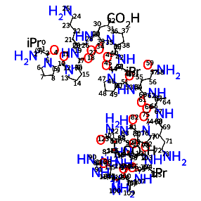 CC(C)[C@H](N)C(=O)N1CCC[C@H]1C(=O)N1CCC[C@H]1C(=O)N[C@@H](CCCCN)C(=O)N[C@@H](CCC(=O)O)C(=O)N1CCC[C@H]1C(=O)N[C@H](C(=O)N1CCC[C@H]1C(=O)N[C@@H](CCC(N)=O)C(=O)N[C@@H](C)C(=O)N[C@@H](CCCCN)C(=O)N1CCC[C@H]1C(=O)N[C@@H](CCCNC(=N)N)C(=O)N[C@@H](CCCCN)C(=O)N[C@H](C(=O)N[C@@H](C)C(=O)N[C@@H](C)C(=O)N[C@@H](CCC(N)=O)C(=O)O)C(C)C)C(C)C